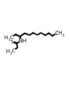 CCCCCCCCCC(CC)NC(=S)CC